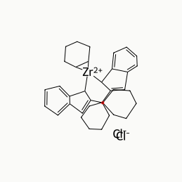 C1=C(C2CCCCC2)[CH]([Zr+2]2([CH]3C(C4CCCCC4)=Cc4ccccc43)[CH]3CCCC[CH]32)c2ccccc21.[Cl-].[Cl-]